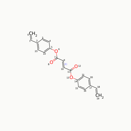 C=Cc1ccc(OC(=O)/C=C/C(=O)Oc2ccc(C=C)cc2)cc1